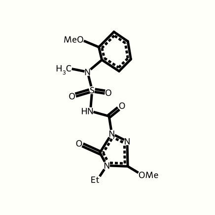 CCn1c(OC)nn(C(=O)NS(=O)(=O)N(C)c2ccccc2OC)c1=O